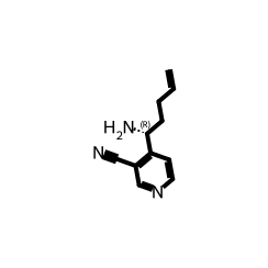 C=CCC[C@@H](N)c1ccncc1C#N